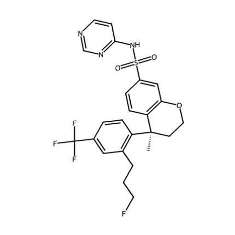 C[C@@]1(c2ccc(C(F)(F)F)cc2CCCF)CCOc2cc(S(=O)(=O)Nc3ccncn3)ccc21